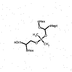 CCCCCCCCC(CCCCCC)CO[Si](C)(C)OC(CCCCCCC)OCCCCCC